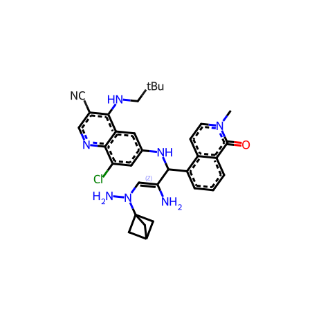 Cn1ccc2c(C(Nc3cc(Cl)c4ncc(C#N)c(NCC(C)(C)C)c4c3)/C(N)=C/N(N)C34CC(C3)C4)cccc2c1=O